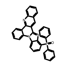 O=P(c1ccccc1)(c1ccccc1)c1cccc2c1nc1c3cc4ccccc4nc3c3ccccc3n21